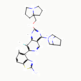 Cc1ccc2sc(N)nc2c1-c1ncc2c(N3CC4CCC(C3)N4)nc(OCC34CCCN3CCC4)nc2c1F